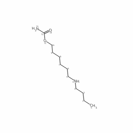 CCCCNCCCCCCOC(N)=O